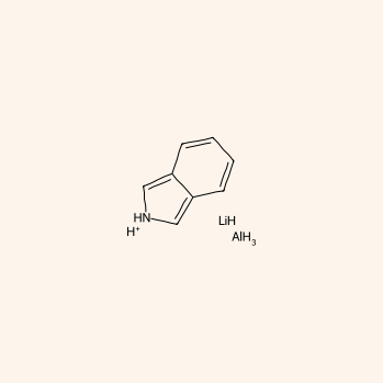 [AlH3].[H+].[LiH].c1ccc2c[nH]cc2c1